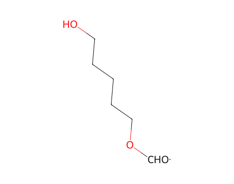 O=[C]OCCCCCO